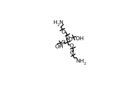 CC(C)(CO)OCC(COC(C)(C)CO)(COC(C)(C)COC(C)(C)CCN)COC(C)(C)COC(C)(C)CCN